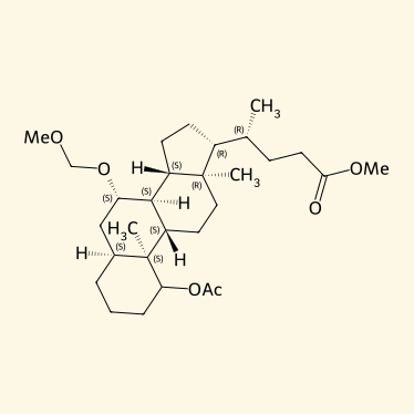 COCO[C@H]1C[C@@H]2CCCC(OC(C)=O)[C@]2(C)[C@H]2CC[C@]3(C)[C@@H]([C@H](C)CCC(=O)OC)CC[C@H]3[C@H]12